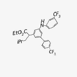 CCOC(=O)C(CC(C)C)c1cc(Nc2cccc(C(F)(F)F)c2)cc(-c2ccc(C(F)(F)F)cc2)c1